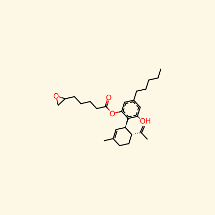 C=C(C)[C@@H]1CCC(C)=C[C@H]1c1c(O)cc(CCCCC)cc1OC(=O)CCCCC1CO1